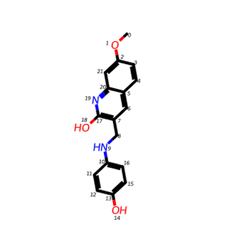 COc1ccc2cc(CNc3ccc(O)cc3)c(O)nc2c1